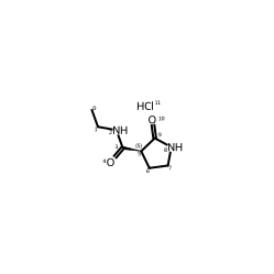 CCNC(=O)[C@@H]1CCNC1=O.Cl